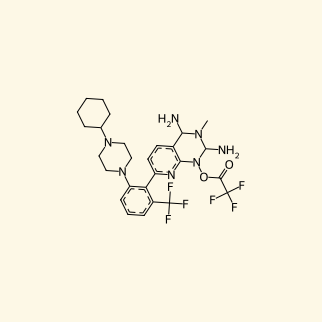 CN1C(N)c2ccc(-c3c(N4CCN(C5CCCCC5)CC4)cccc3C(F)(F)F)nc2N(OC(=O)C(F)(F)F)C1N